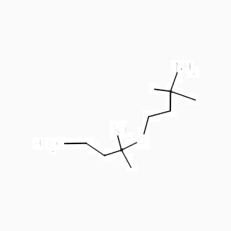 BC(C)(CCC(=O)O)OCCC(C)(C)N